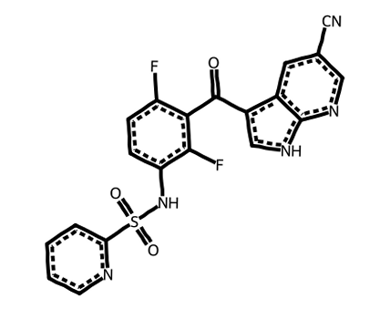 N#Cc1cnc2[nH]cc(C(=O)c3c(F)ccc(NS(=O)(=O)c4ccccn4)c3F)c2c1